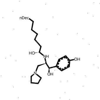 CCCCCCCCCCCCCCC[C@@H](O)N[C@H](CN1CCCC1)[C@H](O)c1ccc(O)cc1